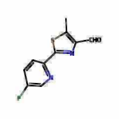 Cc1sc(-c2ccc(F)cn2)nc1C=O